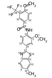 COc1cc(-c2nc3ccc(C)cc3s2)ccc1NC(=O)c1ccc(OC)c(C(F)(F)F)c1